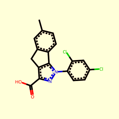 Cc1ccc2c(c1)Cc1c(C(=O)O)nn(-c3ccc(Cl)cc3Cl)c1-2